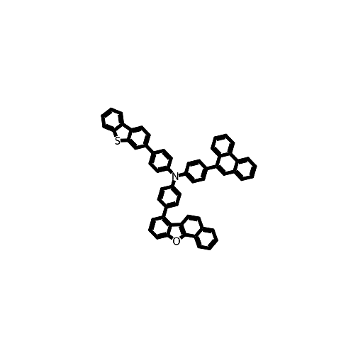 c1ccc2c(c1)cc(-c1ccc(N(c3ccc(-c4ccc5c(c4)sc4ccccc45)cc3)c3ccc(-c4cccc5oc6c7ccccc7ccc6c45)cc3)cc1)c1ccccc12